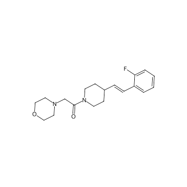 O=C(CN1CCOCC1)N1CCC(/C=C/c2ccccc2F)CC1